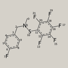 CN(Cc1ccc(F)cc1)Sc1c(F)c(F)c(F)c(F)c1F